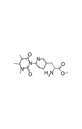 COC(=O)C(N)Cc1ccc(-n2c(=O)c(C)c(C)n(C)c2=O)nc1